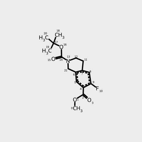 COC(=O)c1cc2c(cc1F)CCN(C(=O)OC(C)(C)C)C2